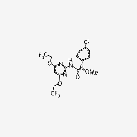 CON(C(=O)Nc1nc(OCC(F)(F)F)cc(OCC(F)(F)F)n1)c1ccc(Cl)cc1